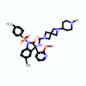 CCOc1ncccc1[C@]1(NC(=O)N2CC3(C2)CN(C2CCN(C(C)C)CC2)C3)C(=O)N(S(=O)(=O)c2ccc(C)cc2)c2ccc(C#N)cc21